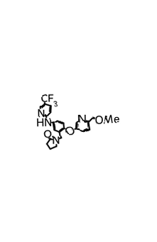 COCc1ccc(Oc2ccc(Nc3ccc(C(F)(F)F)cn3)cc2CN2CCCC2=O)cn1